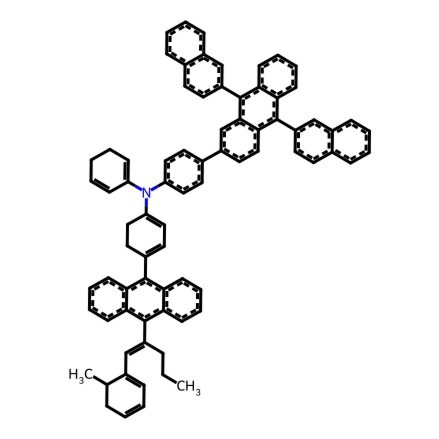 CCC/C(=C\C1=CC=CCC1C)c1c2ccccc2c(C2=CC=C(N(C3=CCCC=C3)c3ccc(-c4ccc5c(-c6ccc7ccccc7c6)c6ccccc6c(-c6ccc7ccccc7c6)c5c4)cc3)CC2)c2ccccc12